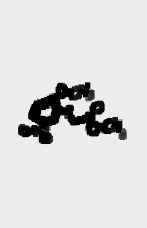 COC(=O)CSc1cc([N+](=O)[O-])ccc1OC